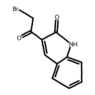 O=C(CBr)c1cc2ccccc2[nH]c1=O